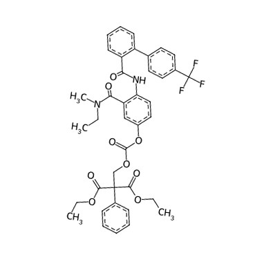 CCOC(=O)C(COC(=O)Oc1ccc(NC(=O)c2ccccc2-c2ccc(C(F)(F)F)cc2)c(C(=O)N(C)CC)c1)(C(=O)OCC)c1ccccc1